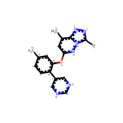 CCc1nnc2c(C)cc(Oc3cc(C(F)(F)F)ccc3-c3cncnc3)nn12